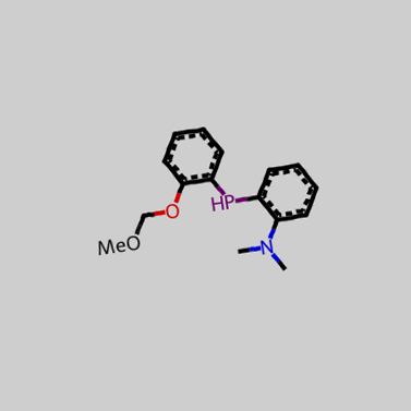 COCOc1ccccc1Pc1ccccc1N(C)C